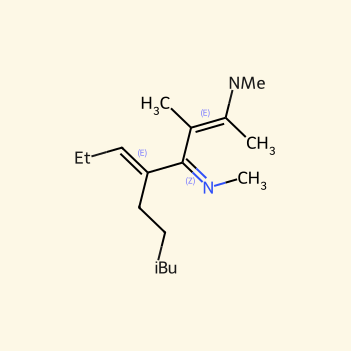 CC/C=C(CCC(C)CC)/C(=N/C)C(/C)=C(\C)NC